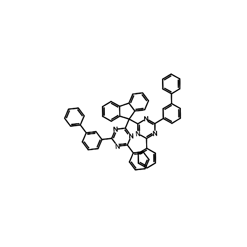 c1ccc(-c2cccc(-c3nc(-c4ccccc4)nc(C4(c5nc(-c6ccccc6)nc(-c6cccc(-c7ccccc7)c6)n5)c5ccccc5-c5ccccc54)n3)c2)cc1